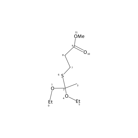 CCOC(C)(OCC)SCCC(=O)OC